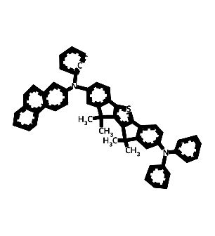 CC1(C)c2cc(N(c3ccccc3)c3ccccc3)ccc2-c2sc3c(c21)C(C)(C)c1cc(N(c2ccccc2)c2ccc4c(ccc5ccccc54)c2)ccc1-3